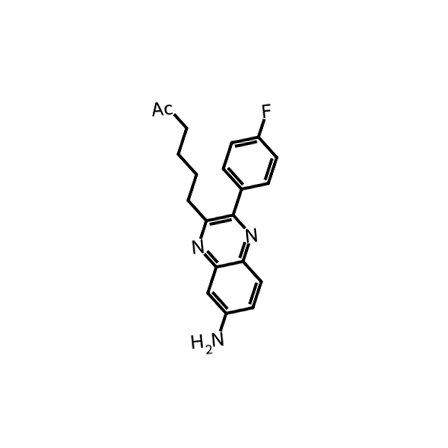 CC(=O)CCCCc1nc2cc(N)ccc2nc1-c1ccc(F)cc1